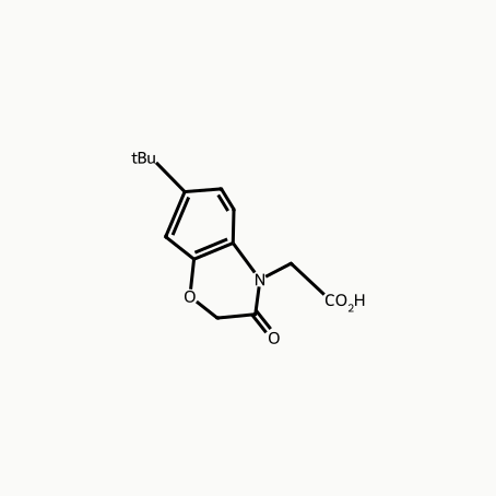 CC(C)(C)c1ccc2c(c1)OCC(=O)N2CC(=O)O